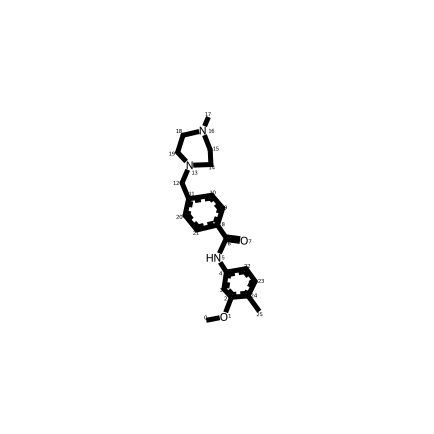 COc1cc(NC(=O)c2ccc(CN3CCN(C)CC3)cc2)ccc1C